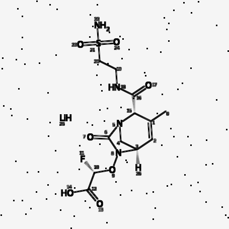 CC1=C[C@@H]2CN(C(=O)N2O[C@@H](F)C(=O)O)[C@@H]1C(=O)NCCS(N)(=O)=O.[LiH]